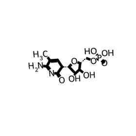 CC1=CC([C@@H]2O[C@H](COP(=O)(O)O)C(O)[C@H]2O)C(=O)N=C1N